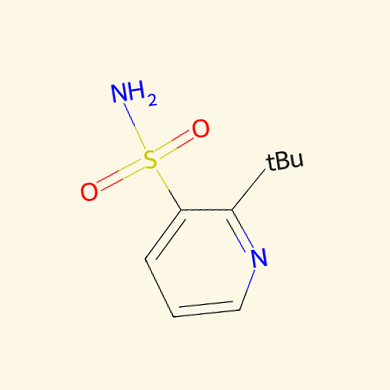 CC(C)(C)c1ncccc1S(N)(=O)=O